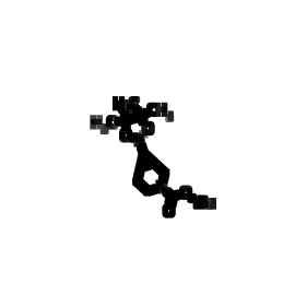 CC(C)(C)OC(=O)N1CCC2C(C1)C2B1OC(C)(C)C(C)(C)O1